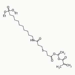 C=C(OC(=O)CCSCCC(=O)NCCCCCCCCCCP(=O)(OCC)OCC)OC(=O)C(=C)C